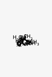 C=CC[C@@]1(C(=O)OC)CC2C[N@](CCc3c1[nH]c1ccccc31)CC(O)(CC)C2